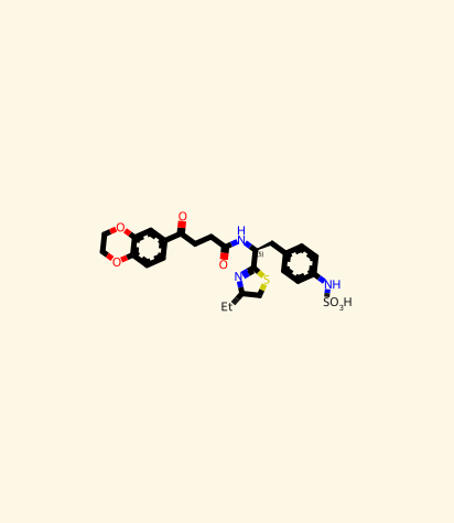 CCC1CSC([C@H](Cc2ccc(NS(=O)(=O)O)cc2)NC(=O)CCC(=O)c2ccc3c(c2)OCCO3)=N1